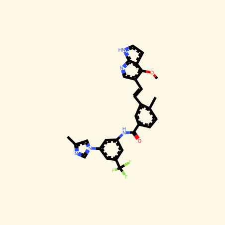 COc1c(C=Cc2cc(C(=O)Nc3cc(-n4cnc(C)c4)cc(C(F)(F)F)c3)ccc2C)cnc2[nH]ccc12